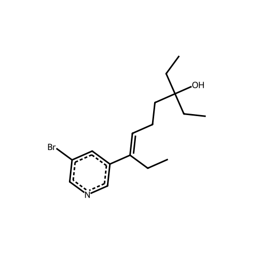 CCC(=CCCC(O)(CC)CC)c1cncc(Br)c1